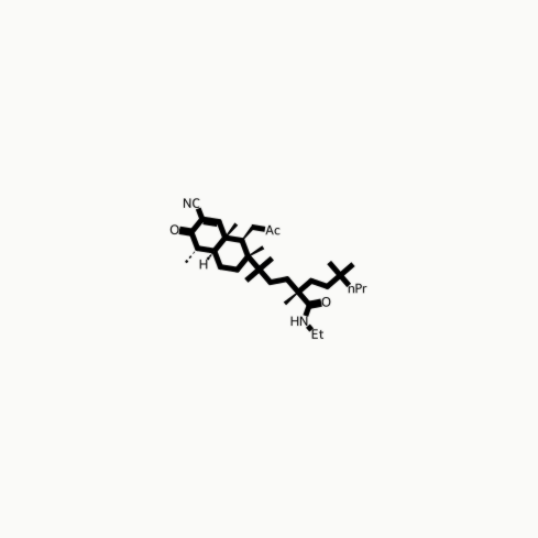 CCCC(C)(C)CC[C@@](C)(CCC(C)(C)[C@]1(C)CC[C@H]2[C@H](C)C(=O)C(C#N)=C[C@]2(C)[C@H]1CC(C)=O)C(=O)NCC